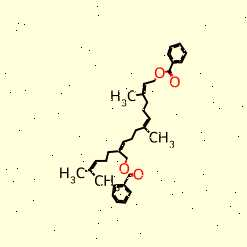 CC(C)=CCCC(=CCCC(C)=CCCC(C)=CCOC(=O)c1ccccc1)COC(=O)c1ccccc1